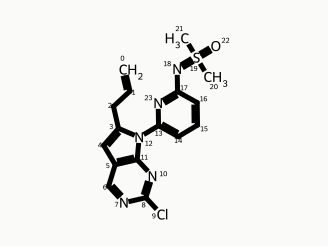 C=CCc1cc2cnc(Cl)nc2n1-c1cccc(N=S(C)(C)=O)n1